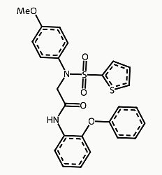 COc1ccc(N(CC(=O)Nc2ccccc2Oc2ccccc2)S(=O)(=O)c2cccs2)cc1